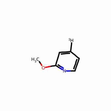 [2H]c1ccnc(OC)c1